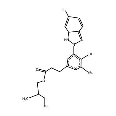 CC(COC(=O)CCc1cc(N2N=C3C=CC(Cl)=CC3N2)c(O)c(C(C)(C)C)c1)CC(C)(C)C